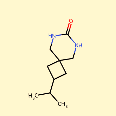 CC(C)C1CC2(CNC(=O)NC2)C1